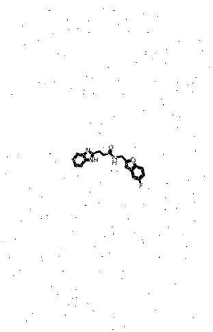 O=C(CCc1nc2ccccc2[nH]1)NCc1cc2cc(F)ccc2o1